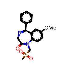 COc1ccc2c(c1)C(c1ccccc1)=NCC(=O)N2CS(C)(=O)=O